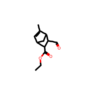 CCOC(=O)C1C2C=C(C)C(C2)C1C=O